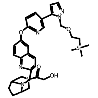 C[Si](C)(C)CCOCn1nccc1-c1ccc(Oc2ccc3nc(CN4C5CCC4CN(C(=O)CO)C5)ccc3c2)nc1